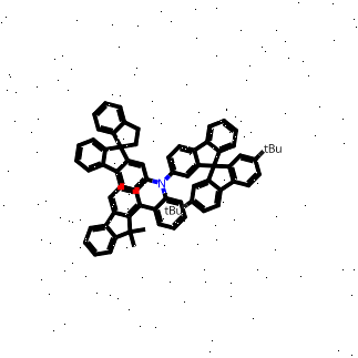 CC(C)(C)c1ccc2c(c1)C1(c3ccccc3-c3ccc(N(c4ccc5c(c4)C4(CCc6ccccc64)c4ccccc4-5)c4ccccc4-c4cccc5c4C(C)(C)c4ccccc4-5)cc31)c1cc(C(C)(C)C)ccc1-2